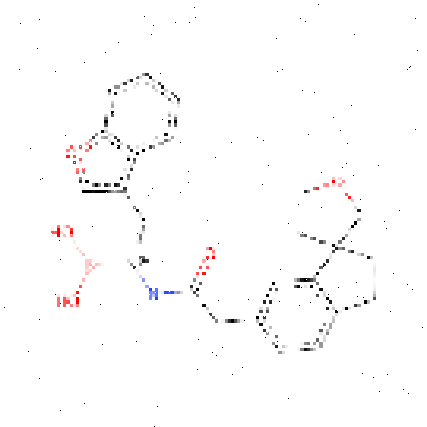 O=C(Cc1ccc2c(c1)C1(CCOC1)CC2)N[C@@H](Cc1coc2ccccc12)B(O)O